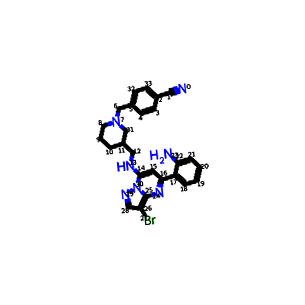 N#Cc1ccc(CN2CCCC(CNc3cc(-c4ccccc4N)nc4c(Br)cnn34)C2)cc1